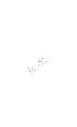 CN1NNN(CCOc2c(Br)ccc(C(=O)C3C(=O)C4CCC(C4)C3=O)c2Br)C1=O